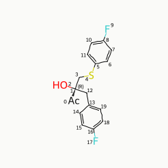 CC(=O)[C@@](O)(CSc1ccc(F)cc1)Cc1ccc(F)cc1